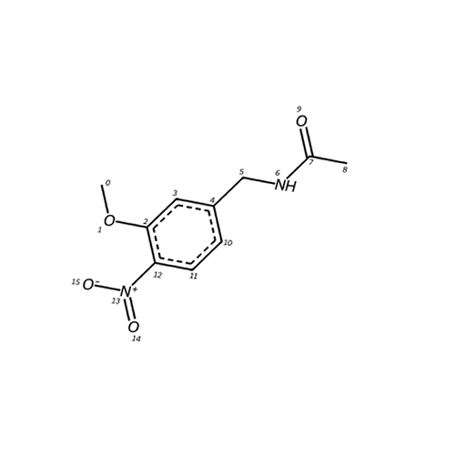 COc1cc(CNC(C)=O)ccc1[N+](=O)[O-]